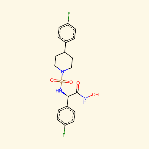 O=C(NO)[C@H](NS(=O)(=O)N1CCC(c2ccc(F)cc2)CC1)c1ccc(F)cc1